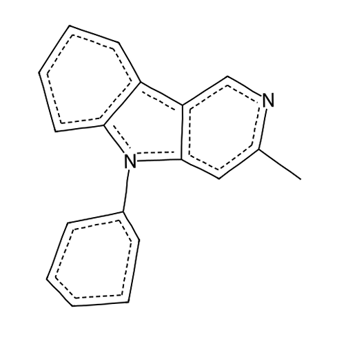 Cc1cc2c(cn1)c1ccccc1n2-c1ccccc1